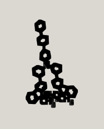 CC1(C)c2ccccc2-c2cc(-c3cccc(N(c4ccc(-c5ccc(-c6ccccc6)cc5)cc4)c4cccc(-c5ccc6c(c5)-c5ccccc5C6(C)C)c4)c3)ccc21